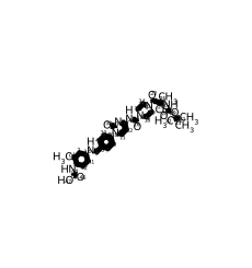 CC1CC(NCc2ccc(-n3ccc(NC(=O)N4CCN(C(=O)C(C)(C)NC(=O)OC(C)(C)C)CC4)nc3=O)cc2)CCC1NC(=O)O